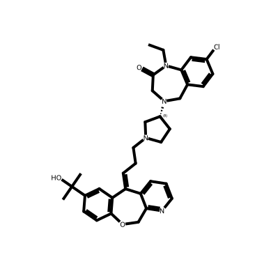 CCN1C(=O)CN([C@@H]2CCN(CCC=C3c4cc(C(C)(C)O)ccc4OCc4ncccc43)C2)Cc2ccc(Cl)cc21